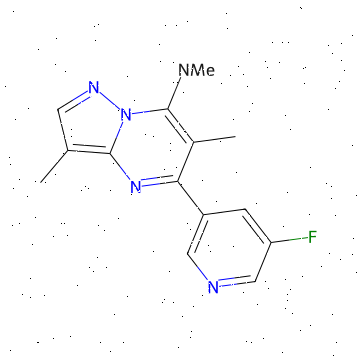 CNc1c(C)c(-c2cncc(F)c2)nc2c(C)cnn12